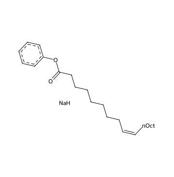 CCCCCCCC/C=C\CCCCCCCC(=O)Oc1ccccc1.[NaH]